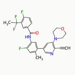 C#Cc1ncc(-c2cc(NC(=O)c3ccc(F)c(C(C)(F)F)c3)c(F)cc2C)cc1N1CCOCC1